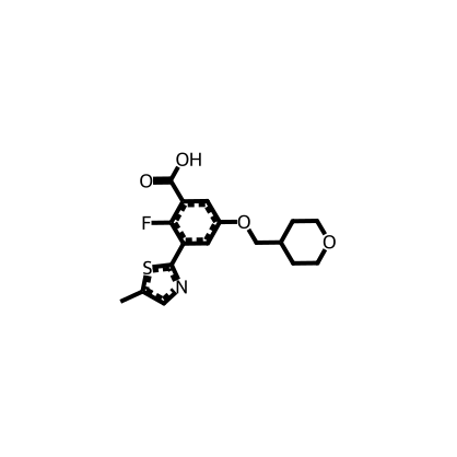 Cc1cnc(-c2cc(OCC3CCOCC3)cc(C(=O)O)c2F)s1